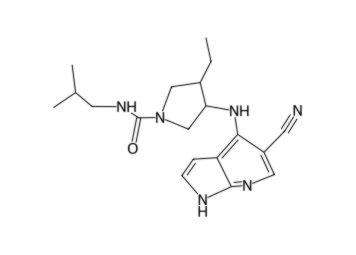 CCC1CN(C(=O)NCC(C)C)CC1Nc1c(C#N)cnc2[nH]ccc12